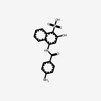 Nc1ccc(C(=O)Nc2cc(O)c(S(=O)(=O)O)c3ccccc23)cc1